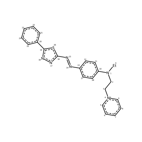 CCN(CC[n+]1ccccc1)c1ccc(N=Nc2nnc(-c3ccccc3)s2)cc1